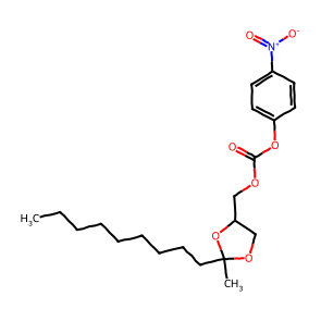 CCCCCCCCCC1(C)OCC(COC(=O)Oc2ccc([N+](=O)[O-])cc2)O1